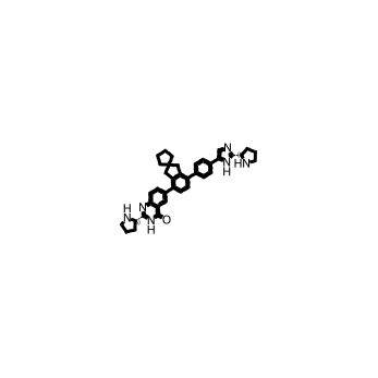 O=c1[nH]c([C@@H]2CCCN2)nc2ccc(-c3ccc(-c4ccc(-c5cnc([C@@H]6CCCN6)[nH]5)cc4)c4c3CC3(CCCC3)C4)cc12